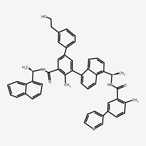 Cc1ccc(-c2cccnc2)cc1C(=O)N[C@H](C)c1cccc2c(-c3cc(-c4cccc(CCO)c4)cc(C(=O)N[C@H](C)c4cccc5ccccc45)c3C)cccc12